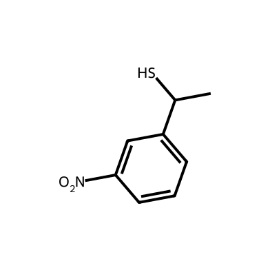 CC(S)c1cccc([N+](=O)[O-])c1